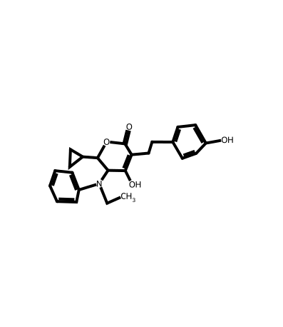 CCN(c1ccccc1)C1C(O)=C(CCc2ccc(O)cc2)C(=O)OC1C1CC1